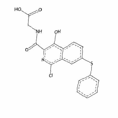 O=C(O)CNC(=O)c1nc(Cl)c2cc(Sc3ccccc3)ccc2c1O